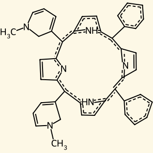 CN1C=CC=C(c2c3nc(c(C4=CC=CN(C)C4)c4ccc([nH]4)c(-c4ccccc4)c4nc(c(-c5ccccc5)c5ccc2[nH]5)C=C4)C=C3)C1